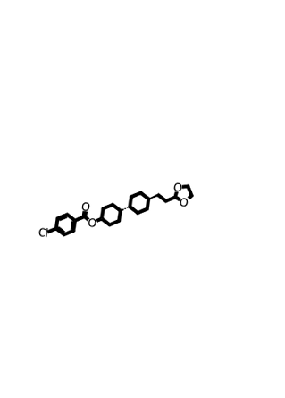 O=C(OC1CCC([C@H]2CC[C@H](CCC3OCCO3)CC2)CC1)c1ccc(Cl)cc1